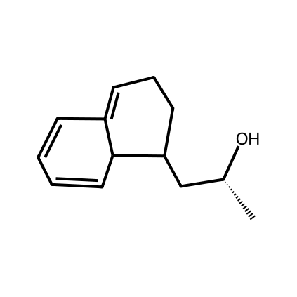 C[C@@H](O)CC1CCC=C2C=CC=CC21